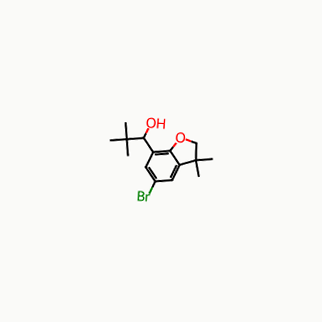 CC1(C)COc2c(C(O)C(C)(C)C)cc(Br)cc21